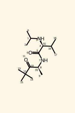 CC(C)N[C@H](C(=O)N[C@@H](C)C(=O)C(C)(C)C)C(C)C